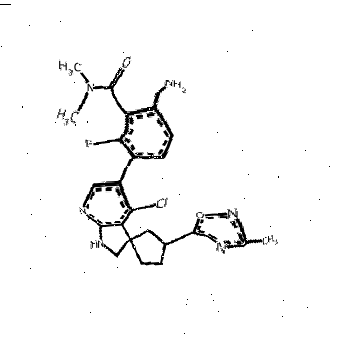 Cc1noc(C2CCC3(CNc4ncc(-c5ccc(N)c(C(=O)N(C)C)c5F)c(Cl)c43)C2)n1